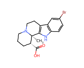 C[C@@]12c3[nH]c4ccc(Br)cc4c3CCN1CCC[C@H]2C(=O)O